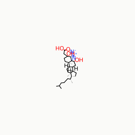 CC(C)CCC[C@@H](C)[C@H]1CC[C@H]2[C@@H]3CC(O)C4(N=[N+]=[N-])CC(O)(CC(=O)O)CC[C@]4(C)[C@H]3CC[C@]12C